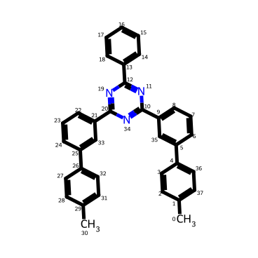 Cc1ccc(-c2cccc(-c3nc(-c4ccccc4)nc(-c4cccc(-c5ccc(C)cc5)c4)n3)c2)cc1